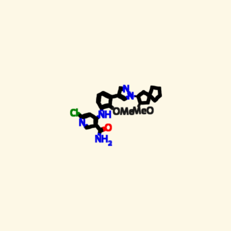 COc1c(Nc2cc(Cl)ncc2C(N)=O)cccc1-c1cnn([C@@H]2CC3(CCCC3)C[C@H]2OC)c1